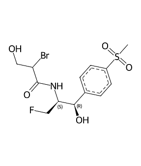 CS(=O)(=O)c1ccc([C@@H](O)[C@@H](CF)NC(=O)C(Br)CO)cc1